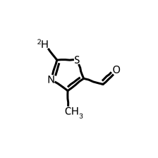 [2H]c1nc(C)c(C=O)s1